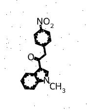 Cn1cc(C(=O)Cc2ccc([N+](=O)[O-])cc2)c2ccccc21